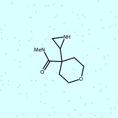 CNC(=O)C1(C2CN2)CCOCC1